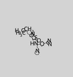 CC(C)(C)[C@H]1CCc2nc3sc(C(=O)NC(CCN4CCCCC4)c4ccc(-c5cncnc5)cc4)cc3cc2C1